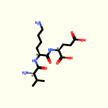 CC(C)[C@H](N)C(=O)N[C@@H](CCCCN)C(=O)N[C@@H](CCC(=O)O)C(=O)O